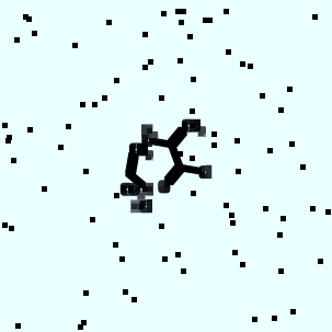 C=C(C)C(=O)Cl.C=CC(=O)O.Cl